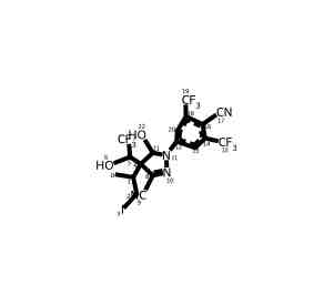 CC(CI)C1(C(O)C(F)(F)F)C(C#N)=NN(c2cc(C(F)(F)F)c(C#N)c(C(F)(F)F)c2)C1O